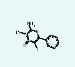 CC(C)n1c(N)nc(-c2ccccc2)c(I)c1=O